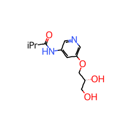 CC(C)C(=O)Nc1cncc(OC[C@H](O)CO)c1